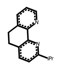 CC(C)c1ccc2c(n1)-c1ncccc1CC2